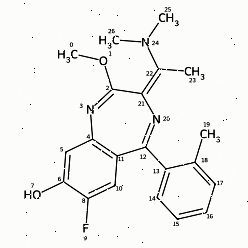 COC1=Nc2cc(O)c(F)cc2C(c2ccccc2C)=N/C1=C(\C)N(C)C